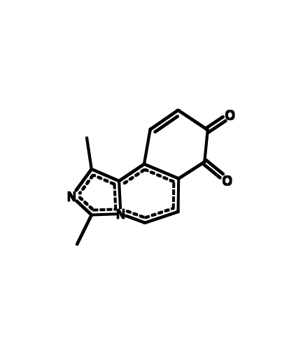 Cc1nc(C)n2ccc3c(c12)C=CC(=O)C3=O